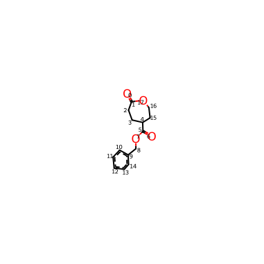 O=C1CCC(C(=O)OCc2ccccc2)CCO1